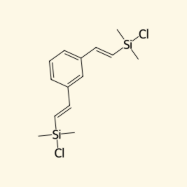 C[Si](C)(Cl)C=Cc1cccc(C=C[Si](C)(C)Cl)c1